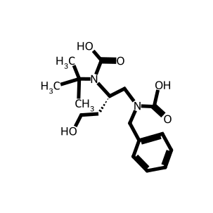 CC(C)(C)N(C(=O)O)[C@@H](CCO)CN(Cc1ccccc1)C(=O)O